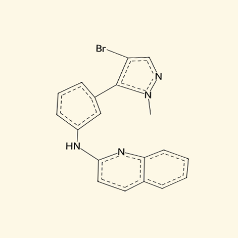 Cn1ncc(Br)c1-c1cccc(Nc2ccc3ccccc3n2)c1